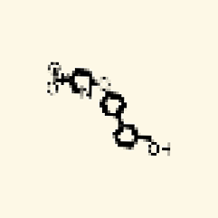 O=[N+]([O-])c1ccc(Oc2ccc(-c3cccc(CO)c3)cc2)nc1